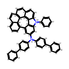 c1ccc(-c2ccc(N(c3ccc(-c4ccccc4)cc3)c3cc4c5c6c7c(ccc8ccc9cccc-4c9c87)ccc6n(-c4ccccc4)c5c3)cc2)cc1